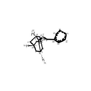 O[C@]12C[C@@H]3C[C@H](C1)/C(=N\Cc1ccccc1)[C@@H](C3)C2